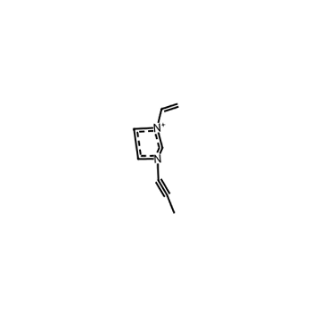 C=C[n+]1ccn(C#CC)c1